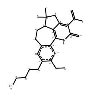 C=C(C)C1=C2CC(C)(C)C3CCc4cc(CCCCS)c(CC)nc4C(=C23)NC1=C